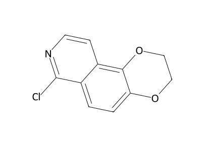 Clc1nccc2c3c(ccc12)OCCO3